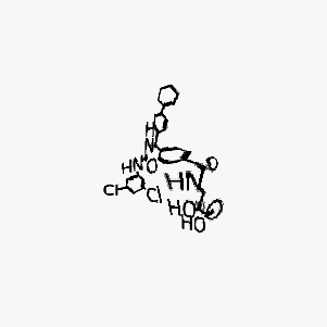 O=C(Nc1cc(Cl)cc(Cl)c1)NC(c1ccc(C(=O)NC[C@@H](O)C(=O)O)cc1)c1ccc(C2=CCCCC2)cc1